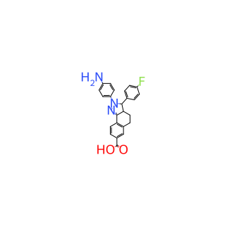 Nc1ccc(N2N=C3c4ccc(C(=O)O)cc4CCC3C2c2ccc(F)cc2)cc1